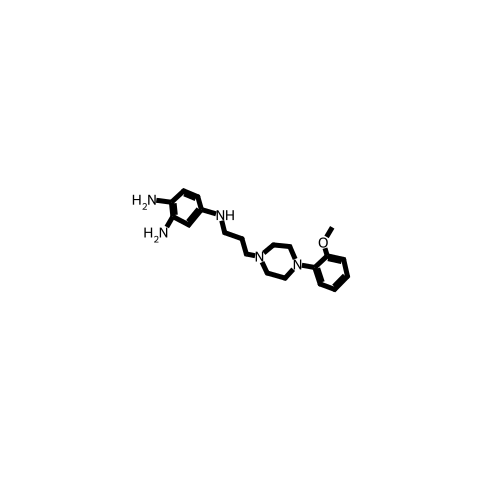 COc1ccccc1N1CCN(CCCNc2ccc(N)c(N)c2)CC1